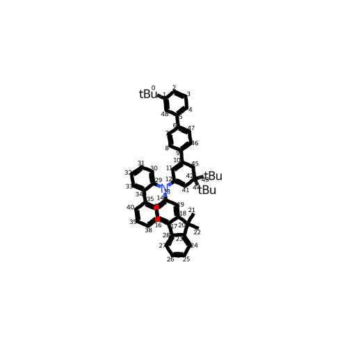 CC(C)(C)c1cccc(-c2ccc(C3=CC(N(c4ccc5c(c4)C(C)(C)c4ccccc4-5)c4ccccc4-c4ccccc4)=CC(C(C)(C)C)(C(C)(C)C)C3)cc2)c1